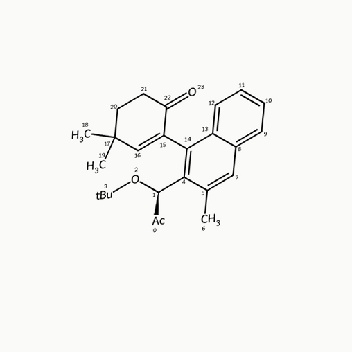 CC(=O)[C@@H](OC(C)(C)C)c1c(C)cc2ccccc2c1C1=CC(C)(C)CCC1=O